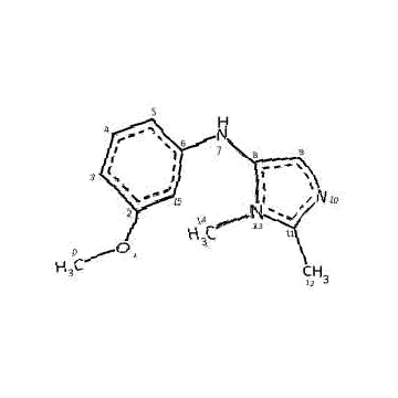 COc1cccc(Nc2cnc(C)n2C)c1